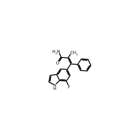 CC(C(N)=O)=C(c1ccccc1)c1cc(F)c2[nH]ccc2c1